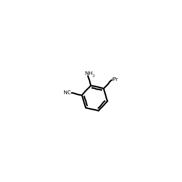 CC(C)c1cccc(C#N)c1N